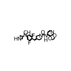 CN(c1cc(F)c(C=C2CCN(C(=O)Nc3ccnc4c3OCCO4)CC2)c(F)c1)C1CNC1